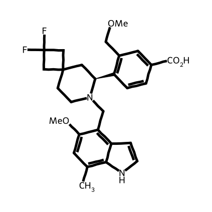 COCc1cc(C(=O)O)ccc1[C@@H]1CC2(CCN1Cc1c(OC)cc(C)c3[nH]ccc13)CC(F)(F)C2